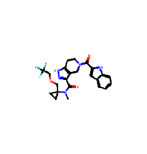 CN(C(=O)c1n[nH]c2c1CN(C(=O)c1cc3ccccc3[nH]1)CC2)C1(COCC(F)(F)F)CC1